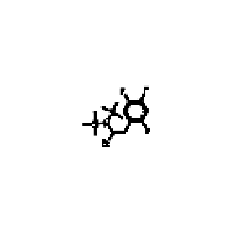 CCC(Cc1cc(F)c(F)cc1F)N([Si](C)(C)C)[Si](C)(C)C